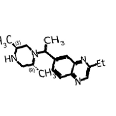 CCc1cnc2ccc(C(C)N3C[C@H](C)NC[C@H]3C)cc2n1